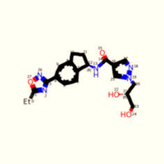 CCc1nc(-c2ccc3c(c2)CC[C@H]3NC(=O)c2cnn(C[C@@H](O)CO)c2)no1